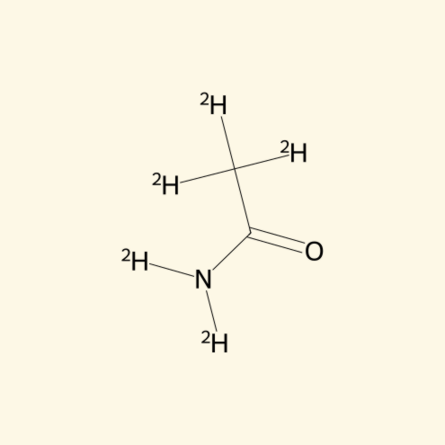 [2H]N([2H])C(=O)C([2H])([2H])[2H]